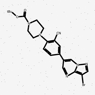 CC(C)(C)OC(=O)N1CCN(c2ccc(-c3cnc4c(Br)cnn4c3)cc2C#N)CC1